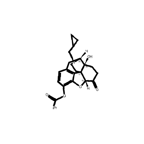 CC(C)C(=O)Oc1ccc2c3c1O[C@H]1C(=O)CC[C@@]4(O)[C@@H](C2)N(CC2CC2)CC[C@]314